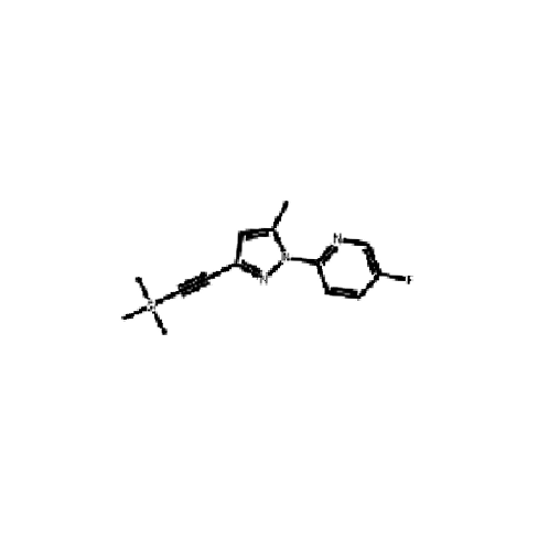 Cc1cc(C#C[Si](C)(C)C)nn1-c1ccc(F)cn1